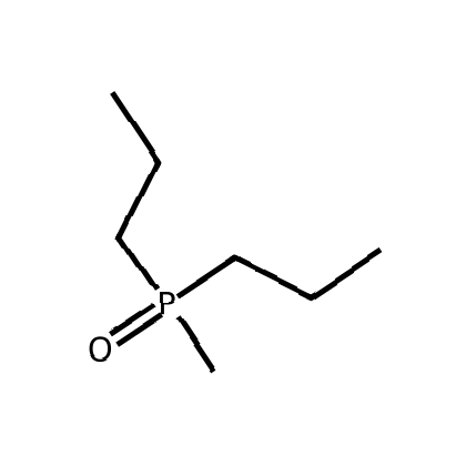 CCCP(C)(=O)CCC